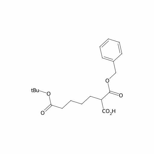 CC(C)(C)OC(=O)CCCCC(C(=O)O)C(=O)OCc1ccccc1